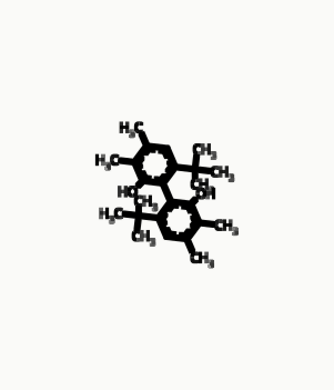 Cc1cc(C(C)(C)C)c(-c2c(C(C)(C)C)cc(C)c(C)c2O)c(O)c1C